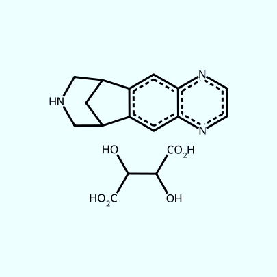 O=C(O)C(O)C(O)C(=O)O.c1cnc2cc3c(cc2n1)C1CNCC3C1